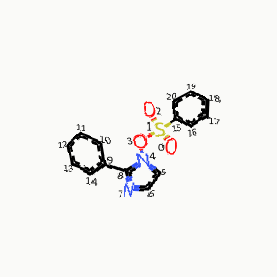 O=S(=O)(On1ccnc1-c1ccccc1)c1ccccc1